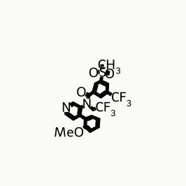 COc1ccccc1-c1ccncc1N(CC(F)(F)F)C(=O)c1cc(C(F)(F)F)cc(S(C)(=O)=O)c1